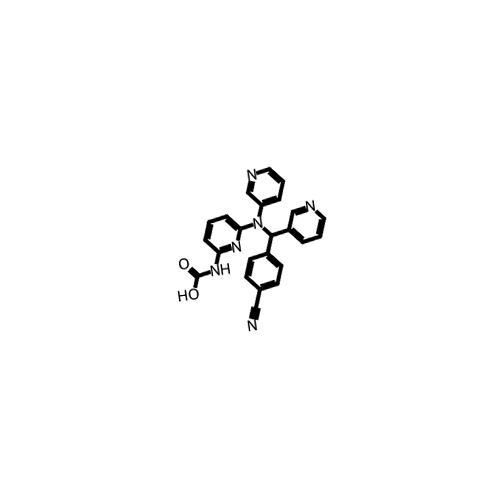 N#Cc1ccc(C(c2cccnc2)N(c2cccnc2)c2cccc(NC(=O)O)n2)cc1